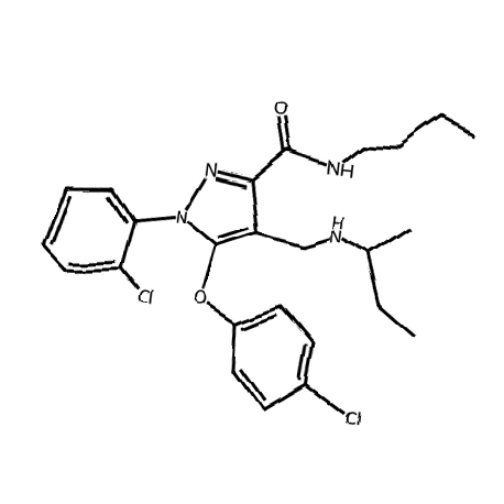 CCCCNC(=O)c1nn(-c2ccccc2Cl)c(Oc2ccc(Cl)cc2)c1CNC(C)CC